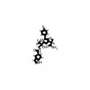 C[C@]1(C(N)=O)COc2c1cc(C(O)(CNC(=O)c1ccc3[nH]ccc3c1)C(F)(F)F)nc2-c1ccc(F)cc1